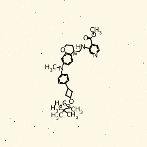 COC(=O)c1ccncc1NC[C@@H]1CCOc2cc(N(C)c3ccc(C4CC(O[Si](C)(C)C(C)(C)C)C4)cc3)ccc21